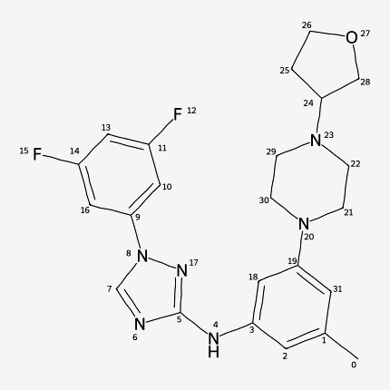 Cc1cc(Nc2ncn(-c3cc(F)cc(F)c3)n2)cc(N2CCN(C3CCOC3)CC2)c1